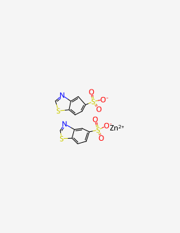 O=S(=O)([O-])c1ccc2scnc2c1.O=S(=O)([O-])c1ccc2scnc2c1.[Zn+2]